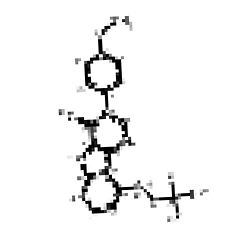 COc1ccc(-n2cnc3c(sc4nccc(NCC(F)(F)F)c43)c2=O)cc1